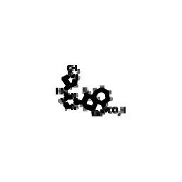 Cn1cc(Nc2ncnc(-c3ccc4c(c3F)CCCCC4N(C(=O)O)C(C)(C)C)n2)cn1